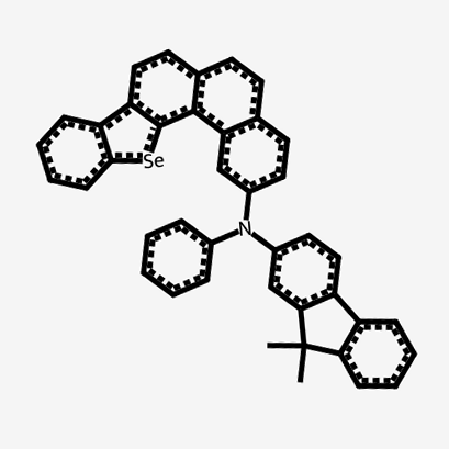 CC1(C)c2ccccc2-c2ccc(N(c3ccccc3)c3ccc4ccc5ccc6c7ccccc7[se]c6c5c4c3)cc21